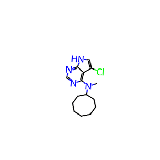 CN(c1ncnc2[nH]cc(Cl)c12)C1CCCCCCC1